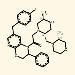 C[C@@H]1CN(CC(=O)N2c3cc(Cc4ccc(F)cc4)cnc3OCC2c2ccccc2)[C@@H](CN2CCOC[C@H]2C)CN1